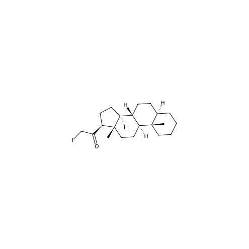 C[C@]12CCCC[C@@H]1CC[C@@H]1[C@@H]2CC[C@]2(C)[C@@H](C(=O)CI)CC[C@@H]12